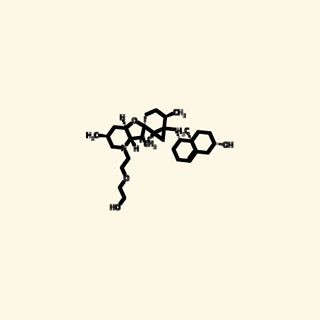 C[C@H]1C[C@H]2O[C@]3(CC[C@@H](C)C4(C[C@H]5CCC=C6C[C@@H](O)CC[C@@]65C)CC43C)[C@H](C)[C@@H]2N(CCOCCO)C1